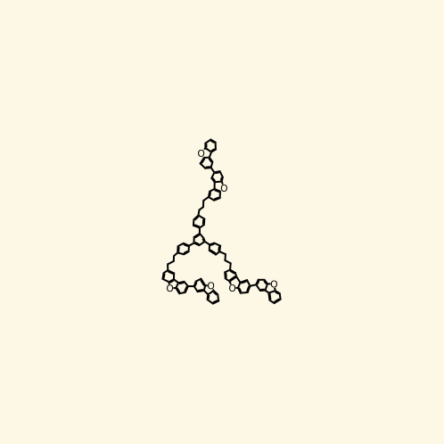 c1ccc2c(c1)oc1ccc(-c3ccc4oc5ccc(CCCc6ccc(-c7cc(-c8ccc(CCCc9ccc%10oc%11ccc(-c%12ccc%13oc%14ccccc%14c%13c%12)cc%11c%10c9)cc8)cc(-c8ccc(CCCc9ccc%10oc%11ccc(-c%12ccc%13oc%14ccccc%14c%13c%12)cc%11c%10c9)cc8)c7)cc6)cc5c4c3)cc12